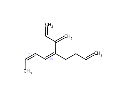 C=CCC/C(=C/C=C\C)C(=C)C=C